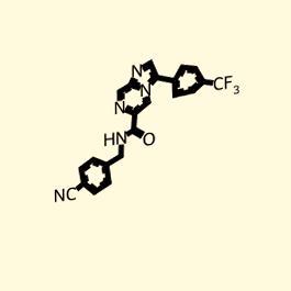 N#Cc1ccc(CNC(=O)c2cn3c(-c4ccc(C(F)(F)F)cc4)cnc3cn2)cc1